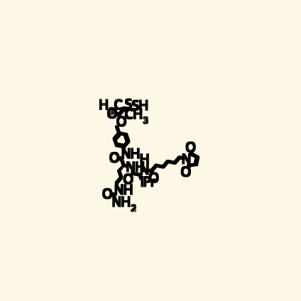 CC(C)C(NC(=O)CCCCCN1C(=O)C=CC1=O)C(=O)N[C@@H](CCCNC(N)=O)C(=O)Nc1ccc(COC(=O)C(C)(C)SS)cc1